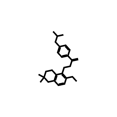 C=C(CCc1c(CC)ccc2c1CCC(C)(C)C2)c1ccc(CC(C)C)cc1